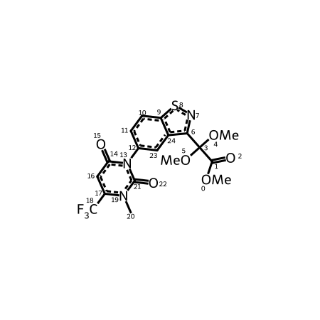 COC(=O)C(OC)(OC)c1nsc2ccc(-n3c(=O)cc(C(F)(F)F)n(C)c3=O)cc12